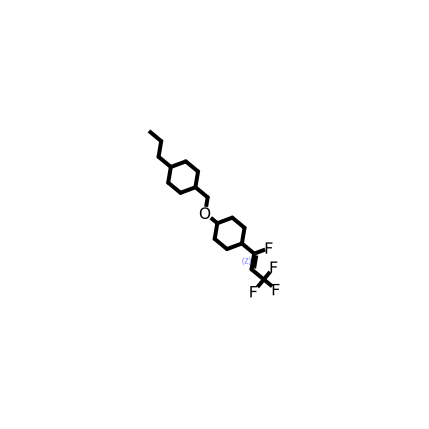 CCCC1CCC(COC2CCC(/C(F)=C/C(F)(F)F)CC2)CC1